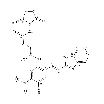 CN(C)c1cc(NC(=O)CCC(=O)ON2C(=O)CCC2=O)c(N=Nc2nc3ccccc3s2)cc1Cl